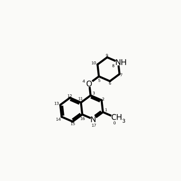 Cc1cc(OC2CCNCC2)c2ccccc2n1